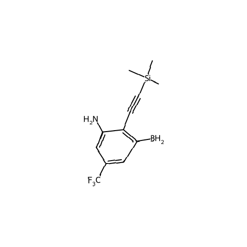 Bc1cc(C(F)(F)F)cc(N)c1C#C[Si](C)(C)C